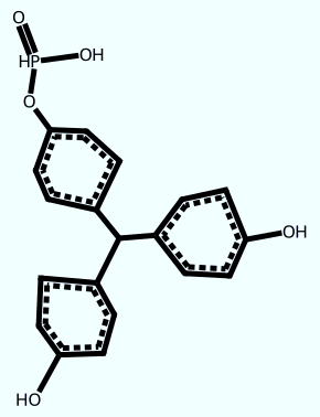 O=[PH](O)Oc1ccc(C(c2ccc(O)cc2)c2ccc(O)cc2)cc1